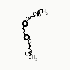 C=CC(=O)OCCCOc1ccc(CCCc2ccc(OCCCOC(=O)C=C)cc2)cc1